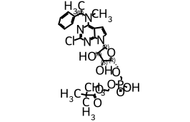 C[C@H](c1ccccc1)N(C)c1nc(Cl)nc2c1ccn2[C@@H]1O[C@H](COCP(=O)(O)OCOC(=O)C(C)(C)C)[C@@H](O)[C@H]1O